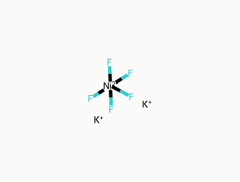 [F][Ni-2]([F])([F])([F])[F].[K+].[K+]